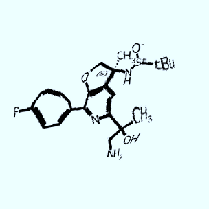 CC(O)(CN)c1cc2c(c(-c3ccc(F)cc3)n1)OC[C@@]2(C)N[S+]([O-])C(C)(C)C